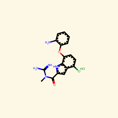 CN(C(=N)N)C(=O)c1cc2c(Cl)ccc(Oc3ccccc3N)c2[nH]1.Cl